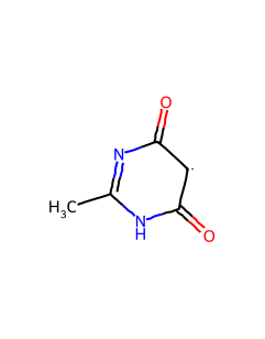 CC1=NC(=O)[CH]C(=O)N1